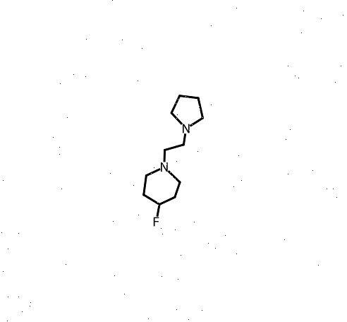 FC1CCN(CCN2CCCC2)CC1